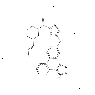 CCC=CC1CCCC(C(=O)c2ncn(Cc3ccc(-c4ccccc4-c4nnn[nH]4)cc3)n2)C1